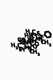 CCOC(=O)/C(C)=C/[C@H](C(C)C)N(C)C(=O)[C@@H](NC(=O)[C@@H]1N(C)[C@@H](c2ccccc2)SC1(C)C)C(C)(C)C